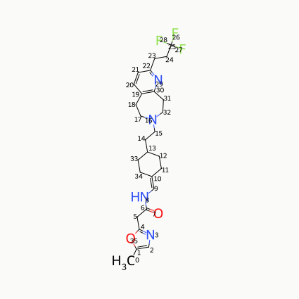 Cc1cnc(CC(=O)NC=C2CCC(CCN3CCc4ccc(CCC(F)(F)F)nc4CC3)CC2)o1